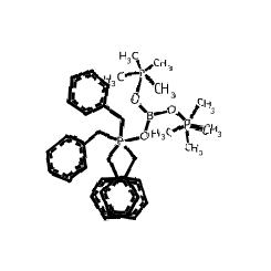 CP(C)(C)(C)OB(OP(C)(C)(C)C)OP(Cc1ccccc1)(Cc1ccccc1)(Cc1ccccc1)Cc1ccccc1